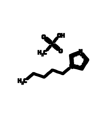 CCCCCn1ccnc1.CS(=O)(=O)O